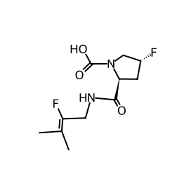 CC(C)=C(F)CNC(=O)[C@@H]1C[C@@H](F)CN1C(=O)O